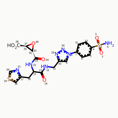 NS(=O)(=O)c1ccc(-n2cc(CNC(=O)C(Cc3cscn3)NC(=O)[C@H]3O[C@@H]3C(=O)O)nn2)cc1